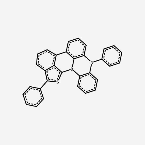 c1ccc(-c2sc3c4c(cccc24)-c2cccc4c2B3c2ccccc2N4c2ccccc2)cc1